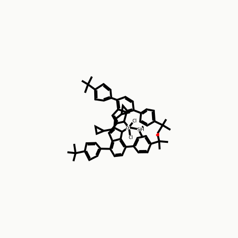 C[SiH](C)[Zr]([Cl])([Cl])([CH]1C(CC2CC2)=Cc2c(-c3ccc(C(C)(C)C)cc3)ccc(-c3ccc(C(C)(C)C)cc3)c21)[CH]1C(CC2CC2)=Cc2c(-c3ccc(C(C)(C)C)cc3)ccc(-c3ccc(C(C)(C)C)cc3)c21